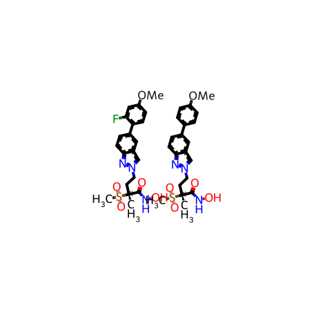 COc1ccc(-c2ccc3nn(CC[C@](C)(C(=O)NO)S(C)(=O)=O)cc3c2)c(F)c1.COc1ccc(-c2ccc3nn(CC[C@](C)(C(=O)NO)S(C)(=O)=O)cc3c2)cc1